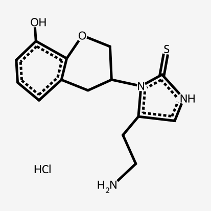 Cl.NCCc1c[nH]c(=S)n1C1COc2c(O)cccc2C1